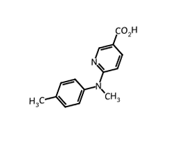 Cc1ccc(N(C)c2ccc(C(=O)O)cn2)cc1